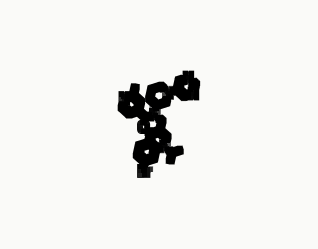 Cc1cc(CN(Cc2cn(C(C)C)c3cc(Br)ccc3c2=O)[C@H]2CCCN(c3cncnc3)C2)ccn1